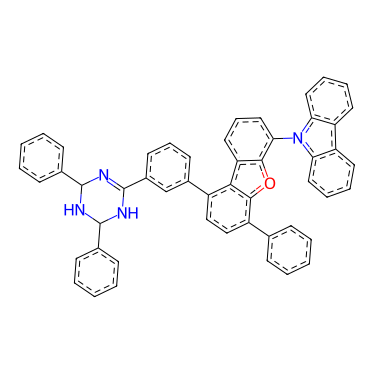 c1ccc(-c2ccc(-c3cccc(C4=NC(c5ccccc5)NC(c5ccccc5)N4)c3)c3c2oc2c(-n4c5ccccc5c5ccccc54)cccc23)cc1